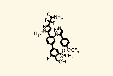 Cn1nc(C(F)(F)C(N)=O)cc1-c1ccc(-c2cc(F)c(CO)c(S(C)(=O)=O)c2)cc1-n1nncc1-c1ccc(OC(F)(F)F)cc1